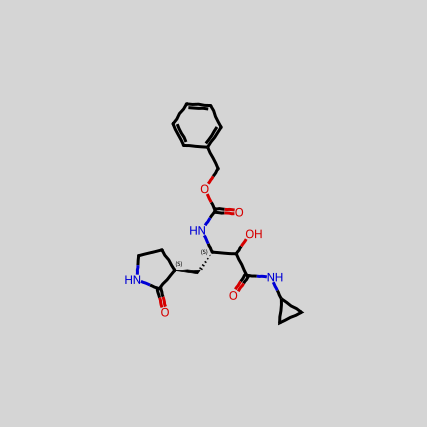 O=C(N[C@@H](C[C@@H]1CCNC1=O)C(O)C(=O)NC1CC1)OCc1ccccc1